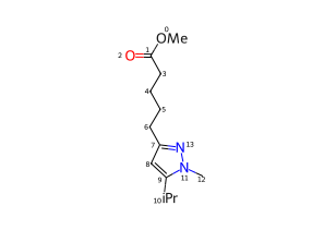 COC(=O)CCCCc1cc(C(C)C)n(C)n1